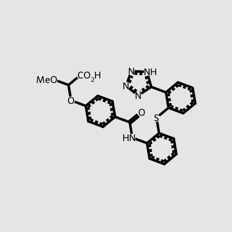 COC(Oc1ccc(C(=O)Nc2ccccc2Sc2ccccc2-c2nnn[nH]2)cc1)C(=O)O